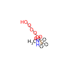 CC(=O)N[C@@H](CSC(c1ccccc1)(c1ccccc1)c1ccccc1)C(=O)OCCOCCOCCOCCO